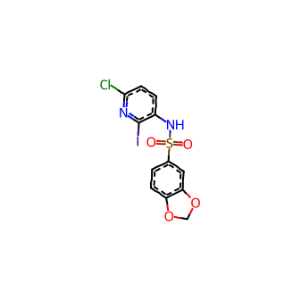 O=S(=O)(Nc1ccc(Cl)nc1I)c1ccc2c(c1)OCO2